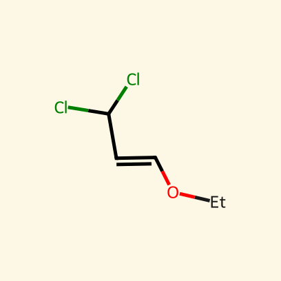 [CH2]COC=CC(Cl)Cl